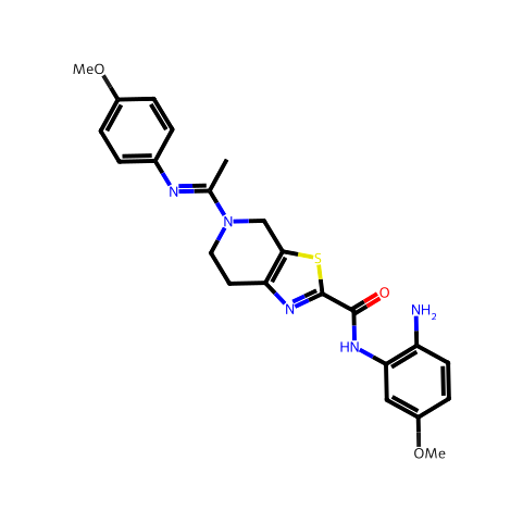 COc1ccc(/N=C(\C)N2CCc3nc(C(=O)Nc4cc(OC)ccc4N)sc3C2)cc1